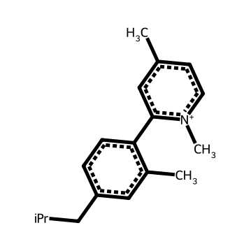 Cc1cc[n+](C)c(-c2ccc(CC(C)C)cc2C)c1